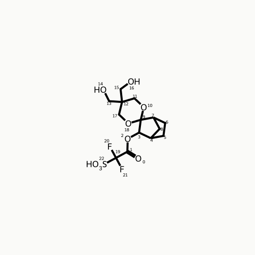 O=C(OC1C2CCC(C2)C12OCC(CO)(CO)CO2)C(F)(F)S(=O)(=O)O